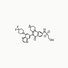 O=C(Nc1cc(N2CCC(F)(F)CC2)c2nccnc2c1)c1ccc(NS(=O)(=O)CCO)cc1N1CCC2(CC1)CC2